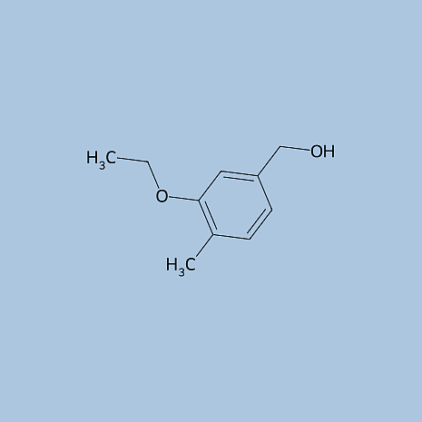 CCOc1cc(CO)ccc1C